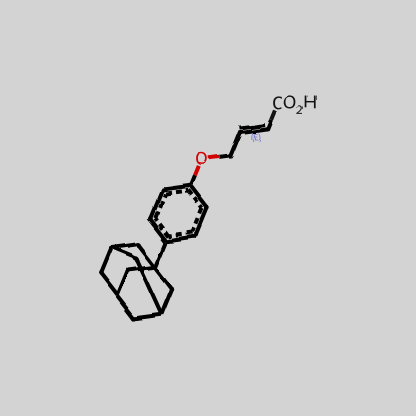 O=C(O)/C=C/COc1ccc(C23CC4CC(CC(C4)C2)C3)cc1